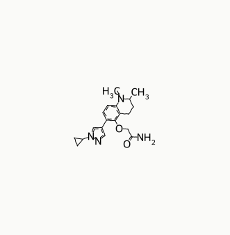 CC1CCc2c(ccc(-c3cnn(C4CC4)c3)c2OCC(N)=O)N1C